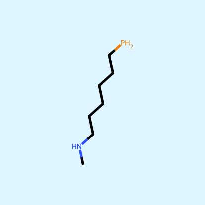 CNCCCCCCP